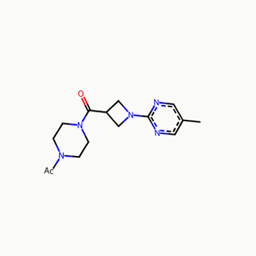 CC(=O)N1CCN(C(=O)C2CN(c3ncc(C)cn3)C2)CC1